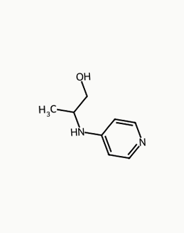 CC(CO)Nc1ccncc1